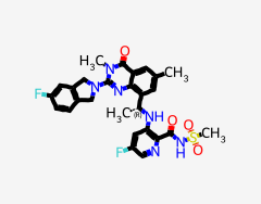 Cc1cc([C@@H](C)Nc2cc(F)cnc2C(=O)NS(C)(=O)=O)c2nc(N3Cc4ccc(F)cc4C3)n(C)c(=O)c2c1